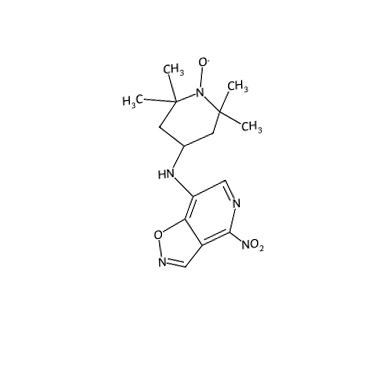 CC1(C)CC(Nc2cnc([N+](=O)[O-])c3cnoc23)CC(C)(C)N1[O]